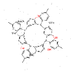 COc1cc(O)c2cc1C(c1ccc(C)cc1C)c1cc(c(OC)cc1O)C(c1ccc(C)cc1C)c1cc(c(O)cc1OC)C(c1ccc(C)cc1C)c1cc(c(O)cc1OC)C2c1ccc(C)cc1C